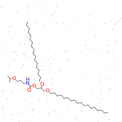 CCCCCCCCCCCCCCCCCCOCC(COC(=O)NCCCOC(C)C)OCCCCCCCCCCCCCCCCCC